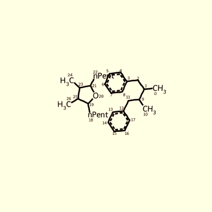 CC(Cc1ccccc1)C(C)Cc1ccccc1.CCCCCC1OC(CCCCC)C(C)C1C